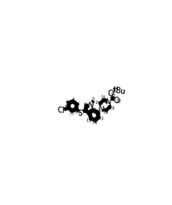 Cn1cc(Sc2cccc(Cl)c2)c2cccc(N3CCN(C(=O)OC(C)(C)C)CC3)c21